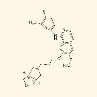 COc1cc2ncnc(Nc3ccc(F)c(C)c3)c2cc1OCCCN1C[C@H]2COC[C@H]2C1